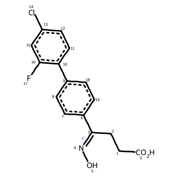 O=C(O)CC/C(=N\O)c1ccc(-c2ccc(Cl)cc2F)cc1